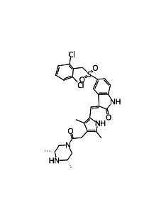 Cc1[nH]c(/C=C2\C(=O)Nc3ccc(S(=O)(=O)Cc4c(Cl)cccc4Cl)cc32)c(C)c1CC(=O)N1C[C@@H](C)N[C@@H](C)C1